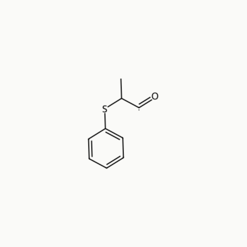 CC([C]=O)Sc1ccccc1